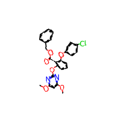 COc1cc(OC)nc(Oc2cccc(Oc3ccc(Cl)cc3)c2C(=O)OCc2ccccc2)n1